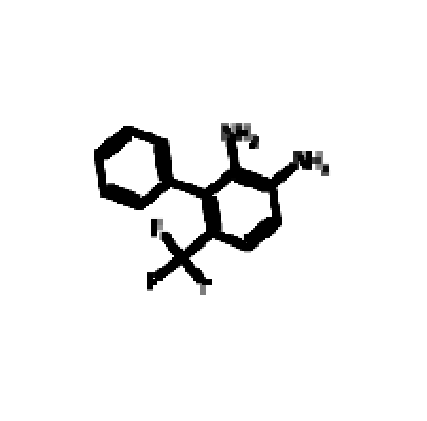 Nc1ccc(C(F)(F)F)c(-c2ccccc2)c1N